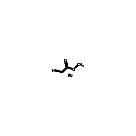 COC(=O)CS.[Au]